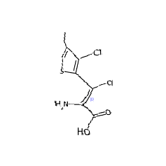 Cc1csc(/C(Cl)=C(\N)C(=O)O)c1Cl